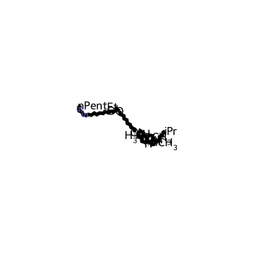 CCCCC/C=C\C/C=C\CCCCCCCCOCC(CC)OCCCCCCCCO[C@H]1CC[C@@]2(C)C(=CC[C@H]3[C@@H]4CC[C@H]([C@H](C)CCCC(C)C)[C@@]4(C)CC[C@@H]32)C1